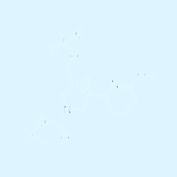 COc1cccc(C23CN(C(=O)OC(C)(C)C)CC2(COS(C)(=O)=O)C3)n1